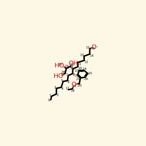 CCCCCCCCCCCCCCCC[O].CCOCc1ccccc1.OCC(O)CO